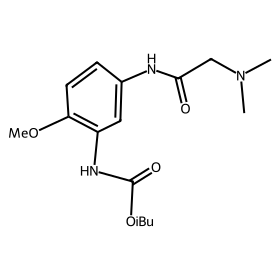 COc1ccc(NC(=O)CN(C)C)cc1NC(=O)OCC(C)C